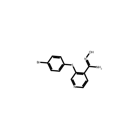 NC(=NO)c1ccncc1Sc1ccc(Br)cc1